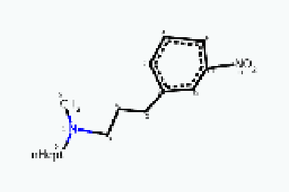 CCCCCCCN(C)CCCc1cccc([N+](=O)[O-])c1